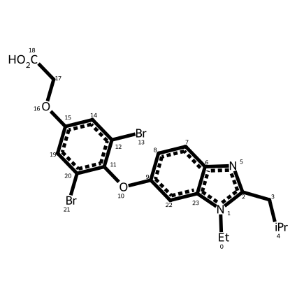 CCn1c(CC(C)C)nc2ccc(Oc3c(Br)cc(OCC(=O)O)cc3Br)cc21